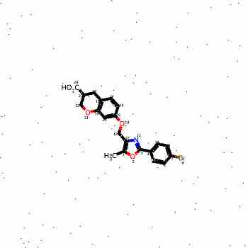 Cc1oc(-c2ccc(Br)cc2)nc1COc1ccc2c(c1)OCC(C(=O)O)C2